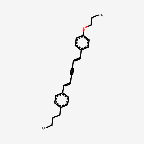 CCCCc1ccc(/C=C/C#C/C=C/c2ccc(OCCC)cc2)cc1